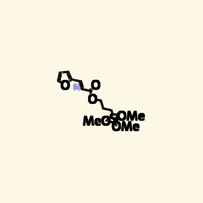 CO[Si](CCCOC(=O)/C=C/c1ccco1)(OC)OC